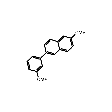 COc1cccc(-c2[c]c3ccc(OC)cc3cc2)c1